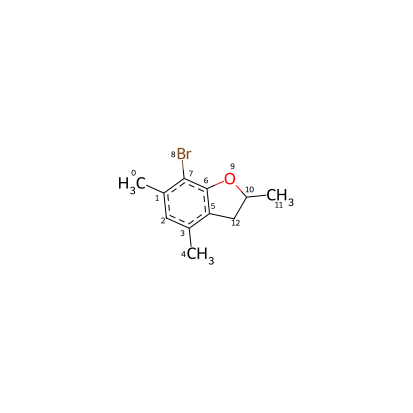 Cc1cc(C)c2c(c1Br)OC(C)C2